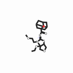 CCOC12COCC1S/C(=N\C(=O)C13CC4CC(CC(C4)C1)C3)N2CCOC